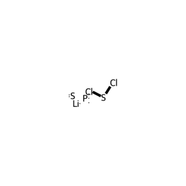 ClSCl.[Li].[P].[S]